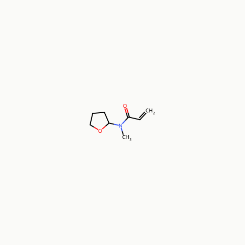 C=CC(=O)N(C)C1CCCO1